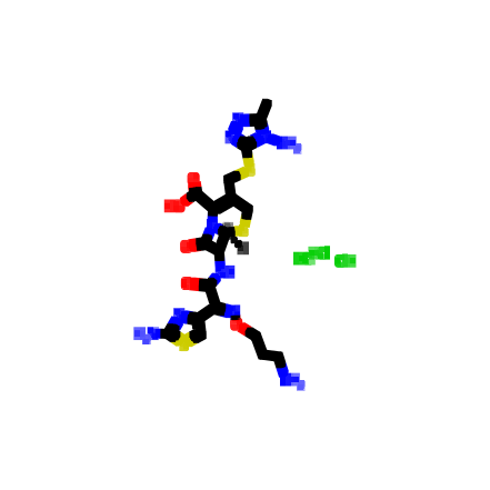 Cc1nnc(SCC2=C(C(=O)O)N3C(=O)C(NC(=O)C(=NOCCCN)c4csc(N)n4)[C@@H]3SC2)n1N.Cl.Cl.Cl